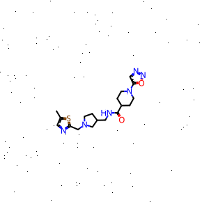 Cc1cnc(CN2CCC(CNC(=O)C3CCN(c4cnno4)CC3)C2)s1